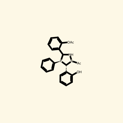 CC(=O)Oc1ccccc1C1NN(C(C)=O)[C@H](c2ccccc2O)[P@@]1c1ccccc1